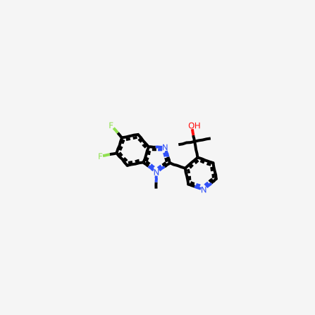 Cn1c(-c2cnccc2C(C)(C)O)nc2cc(F)c(F)cc21